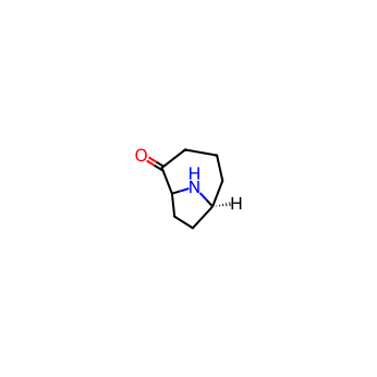 O=C1CCC[C@H]2CCC1N2